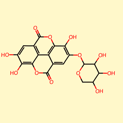 O=c1oc2c(O)c(OC3OCC(O)C(O)C3O)cc3c(=O)oc4c(O)c(O)cc1c4c23